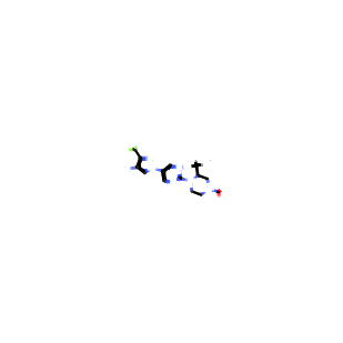 CC(C)(C)C1CN(C(=O)O)CCN1c1ncc(-n2cc(N)c(C(F)F)n2)cn1